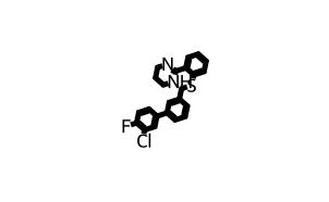 Fc1ccc(-c2cccc(CSc3ccccc3C3=NCCCN3)c2)cc1Cl